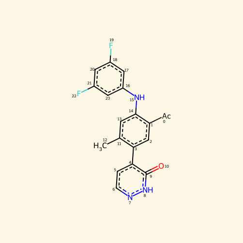 CC(=O)c1cc(-c2ccn[nH]c2=O)c(C)cc1Nc1cc(F)cc(F)c1